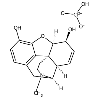 CN1CC[C@]23c4c5ccc(O)c4O[C@H]2[C@@H](O)C=C[C@H]3[C@H]1C5.[O-][Cl+2]([O-])O